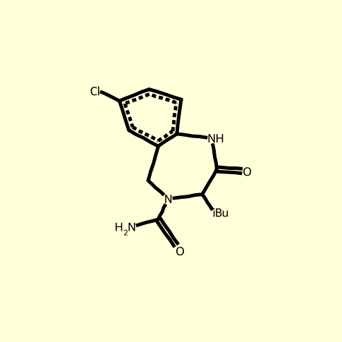 CCC(C)C1C(=O)Nc2ccc(Cl)cc2CN1C(N)=O